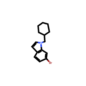 Brc1ccc2ccn(CC3CCCCC3)c2c1